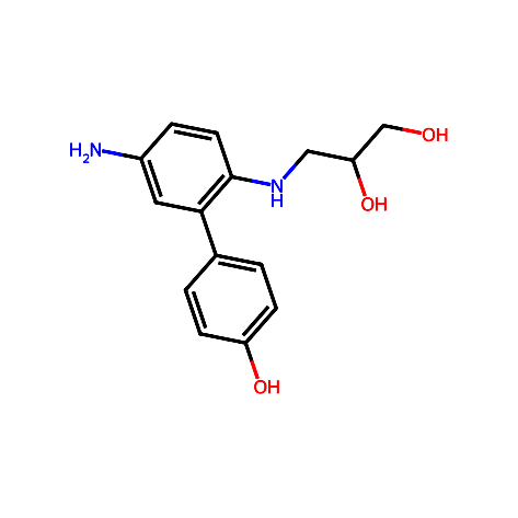 Nc1ccc(NCC(O)CO)c(-c2ccc(O)cc2)c1